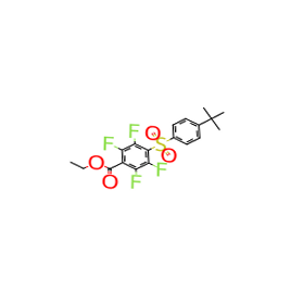 CCOC(=O)c1c(F)c(F)c(S(=O)(=O)c2ccc(C(C)(C)C)cc2)c(F)c1F